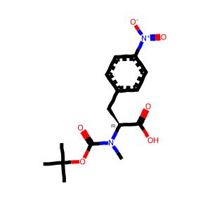 CN(C(=O)OC(C)(C)C)[C@@H](Cc1ccc([N+](=O)[O-])cc1)C(=O)O